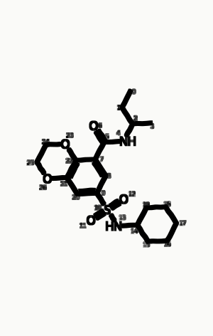 CCC(C)NC(=O)c1cc(S(=O)(=O)NC2CCCCC2)cc2c1OCCO2